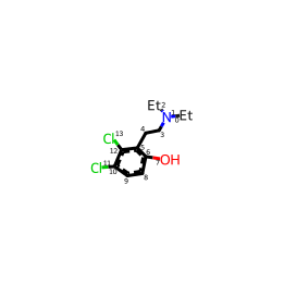 CCN(CC)CCc1c(O)ccc(Cl)c1Cl